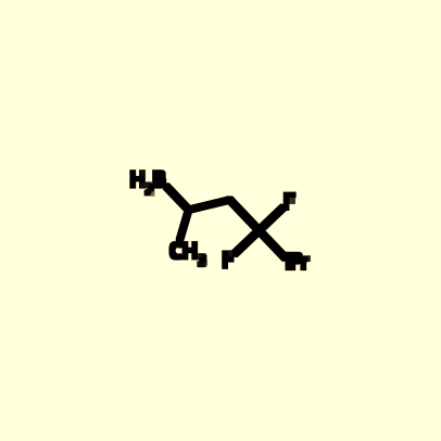 BC(C)CC(F)(F)C(C)C